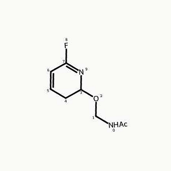 CC(=O)NCOC1CC=CC(F)=N1